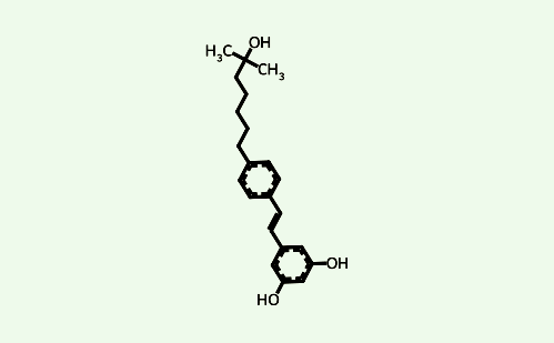 CC(C)(O)CCCCCc1ccc(C=Cc2cc(O)cc(O)c2)cc1